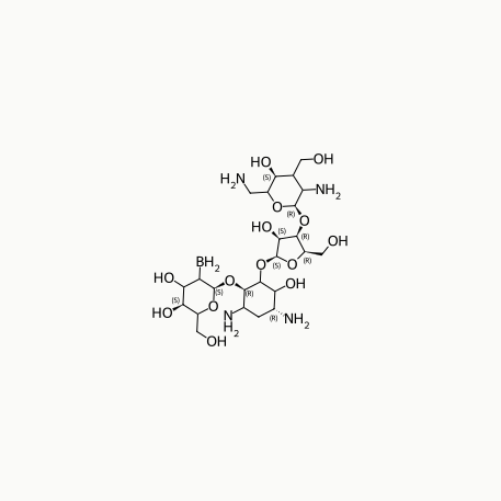 BC1C(O)[C@H](O)C(CO)O[C@@H]1O[C@@H]1C(N)C[C@@H](N)C(O)C1O[C@@H]1O[C@H](CO)[C@H](O[C@H]2OC(CN)[C@@H](O)C(CO)C2N)[C@@H]1O